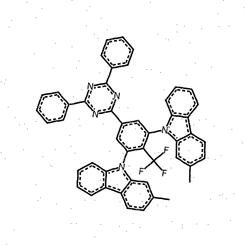 Cc1ccc2c3ccccc3n(-c3cc(-c4nc(-c5ccccc5)nc(-c5ccccc5)n4)cc(-n4c5ccccc5c5ccc(C)cc54)c3C(F)(F)F)c2c1